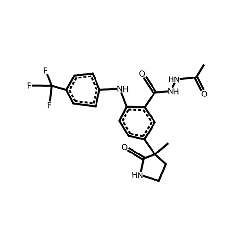 CC(=O)NNC(=O)c1cc(C2(C)CCNC2=O)ccc1Nc1ccc(C(F)(F)F)cc1